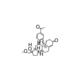 COC[C@]1(O)CC[C@H]2[C@@H]3CCC4=CC(=O)CC[C@@]45Sc4cc(C(C)=O)ccc4[C@@H](C[C@@]21C)C35